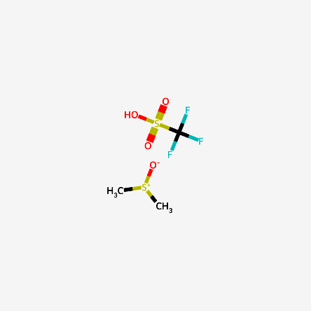 C[S+](C)[O-].O=S(=O)(O)C(F)(F)F